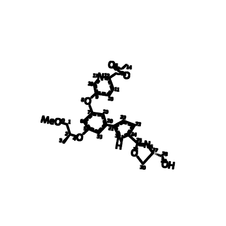 COC[C@H](C)Oc1cc(Oc2ccc(S(C)(=O)=O)nc2)cc(-c2ccc(C3=N[C@H](CO)CO3)[nH]2)c1